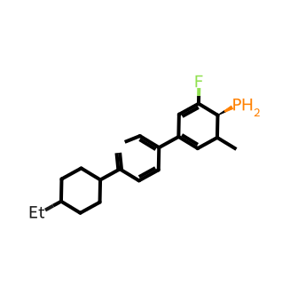 C=C(/C=C\C(=C/C)C1=CC(C)[C@H](P)C(F)=C1)C1CCC(CC)CC1